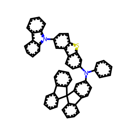 c1ccc(N(c2ccc3c(c2)C2(c4ccccc4-c4ccccc42)c2ccccc2-3)c2ccc3c(c2)sc2ccc(-n4c5ccccc5c5ccccc54)cc23)cc1